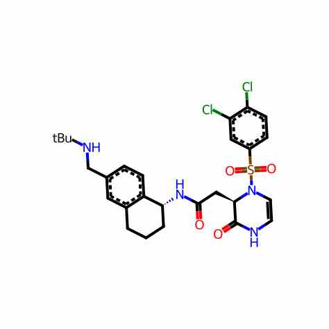 CC(C)(C)NCc1ccc2c(c1)CCC[C@H]2NC(=O)C[C@@H]1C(=O)NC=CN1S(=O)(=O)c1ccc(Cl)c(Cl)c1